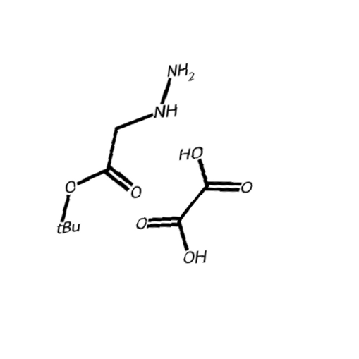 CC(C)(C)OC(=O)CNN.O=C(O)C(=O)O